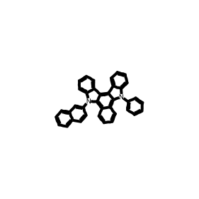 c1ccc(-n2c3ccccc3c3c4c5ccccc5n(-c5ccc6ccccc6c5)c4c4ccccc4c32)cc1